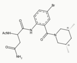 CC(=O)NC(CC(N)=O)C(=O)Nc1ccc(Br)cc1C(=O)N1C[C@H](C)C[C@H](C)C1